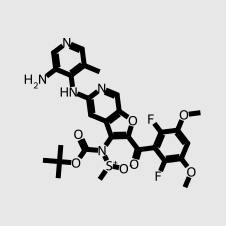 COc1cc(OC)c(F)c(C(=O)c2oc3cnc(Nc4c(C)cncc4N)cc3c2N(C(=O)OC(C)(C)C)[S+](C)[O-])c1F